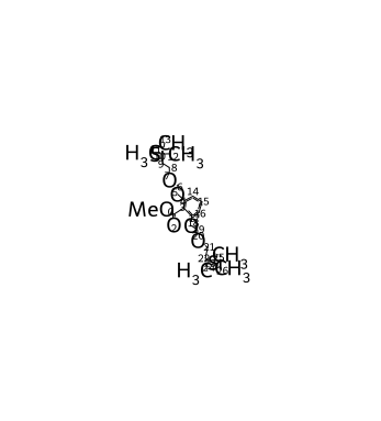 COC(=O)c1c(OCOCC[Si](C)(C)C)cccc1OCOCC[Si](C)(C)C